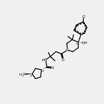 CC(C)(CC(=O)N1CC[C@](O)(c2ccc(Cl)cc2)C(C)(C)C1)NC(=O)[C@@H]1CC[C@@H](N)C1